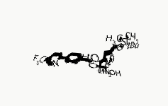 CC(C)(C)[Si](C)(C)OCc1cc([C@H](O)[C@](C)(OCc2ccc(-c3ccc(C(F)(F)F)cn3)cc2)C(=O)NO)no1